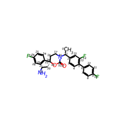 C[C@@H](c1ccc(-c2ccc(F)cc2)c(F)c1)N1CC[C@](CCN)(c2ccc(F)cc2)OC1=O